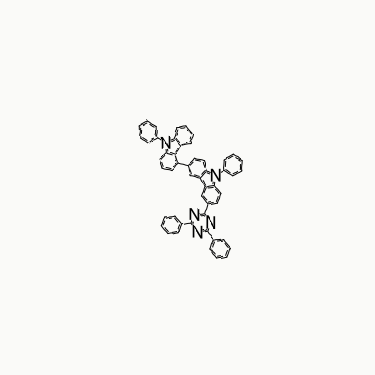 c1ccc(-c2nc(-c3ccccc3)nc(-c3ccc4c(c3)c3cc(-c5cccc6c5c5ccccc5n6-c5ccccc5)ccc3n4-c3ccccc3)n2)cc1